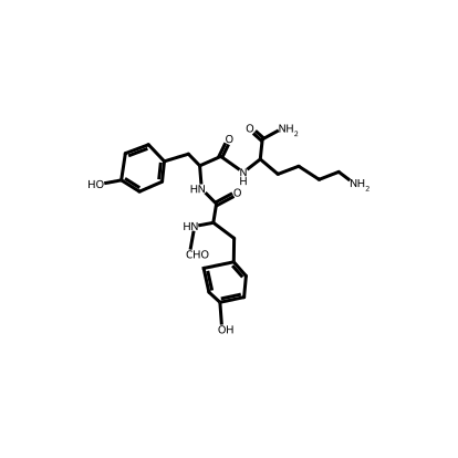 NCCCCC(NC(=O)C(Cc1ccc(O)cc1)NC(=O)C(Cc1ccc(O)cc1)NC=O)C(N)=O